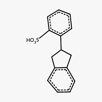 O=S(=O)(O)c1ccccc1C1Cc2ccccc2C1